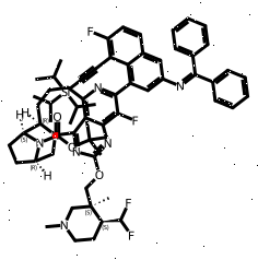 CC(C)[Si](C#Cc1c(F)ccc2cc(N=C(c3ccccc3)c3ccccc3)cc(-c3nc4c5c(nc(OC[C@]6(C)CN(C)CC[C@@H]6C(F)F)nc5c3F)N3C[C@H]5CC[C@@H]([C@H]3CCC4)N5C(=O)OC(C)(C)C)c12)(C(C)C)C(C)C